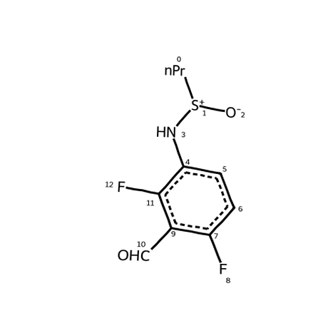 CCC[S+]([O-])Nc1ccc(F)c(C=O)c1F